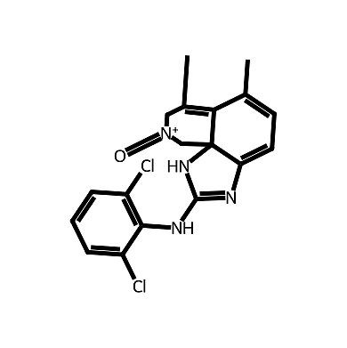 CC1=CC=C2N=C(Nc3c(Cl)cccc3Cl)NC23C[N+](=O)CC(C)=C13